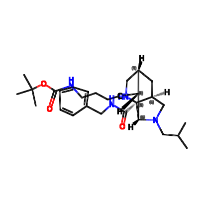 CC(C)CN1C[C@@H]2C[C@H]3CN[C@]2(C(=O)NCc2ccccc2)[C@@H]1[C@@H]3CCCCNC(=O)OC(C)(C)C